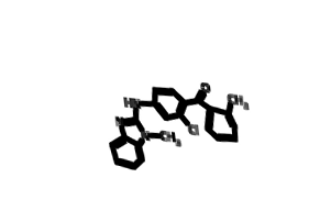 Cc1ccccc1C(=O)c1ccc(Nc2nc3ccccc3n2C)cc1Cl